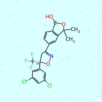 CC1(C)OB(O)c2ccc(C3=NO[C@](c4cc(Cl)cc(Cl)c4)(C(F)(F)F)C3)cc21